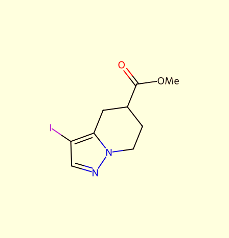 COC(=O)C1CCn2ncc(I)c2C1